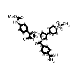 COC(=O)Nc1ccc(-c2[nH]c([C@@H]3CC(C4CCN(S(C)(=O)=O)CC4)CN3C(=O)c3ccc(C(=N)N)cc3)nc2Cl)cc1